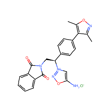 Cc1noc(C)c1-c1ccc([C@H](CN2C(=O)c3ccccc3C2=O)[n+]2cc(N)on2)cc1.[Cl-]